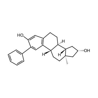 C[C@]12CC[C@@H]3c4cc(-c5ccccc5)c(O)cc4CC[C@H]3[C@@H]1C[C@H](O)C2